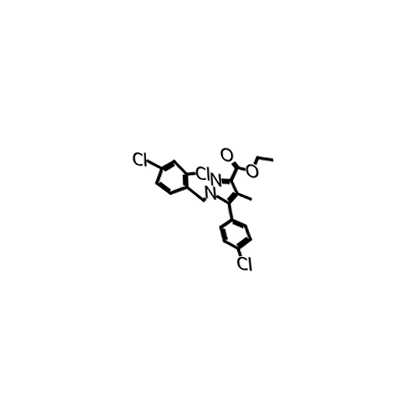 CCOC(=O)c1nn(Cc2ccc(Cl)cc2Cl)c(-c2ccc(Cl)cc2)c1C